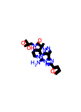 CC(C(=O)NCC1(O)COC1)(c1cccnc1)n1ncc2c1nc(N)n1nc(-c3ccco3)nc21